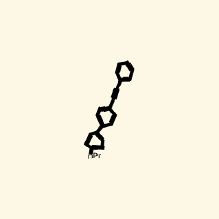 CCCc1ccc(-c2ccc(C#Cc3cc[c]cc3)cc2)cc1